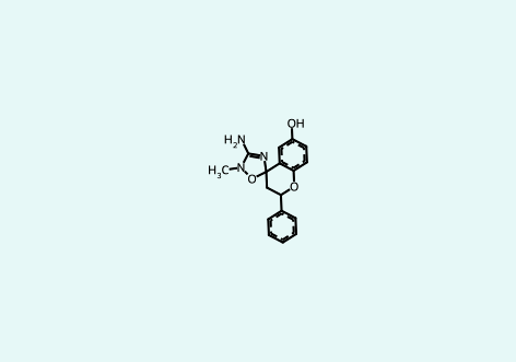 CN1OC2(CC(c3ccccc3)Oc3ccc(O)cc32)N=C1N